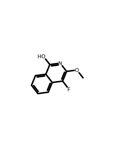 COc1nc(O)c2ccccc2c1F